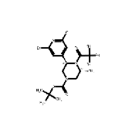 [2H]C([2H])([2H])C(=O)N1[C@H](C)CN(C(=O)OC(C)(C)C)C[C@H]1c1cc(Cl)nc(Br)c1